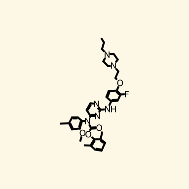 CCCN1CCN(CCOc2ccc(Nc3nccc(N(C(=O)Oc4c(C)cccc4C)c4ccc(C)cc4OC)n3)cc2F)CC1